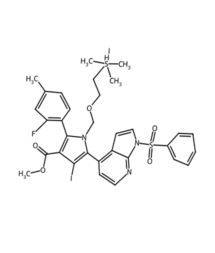 COC(=O)c1c(I)c(-c2ccnc3c2ccn3S(=O)(=O)c2ccccc2)n(COCC[SH](C)(C)(C)I)c1-c1ccc(C)cc1F